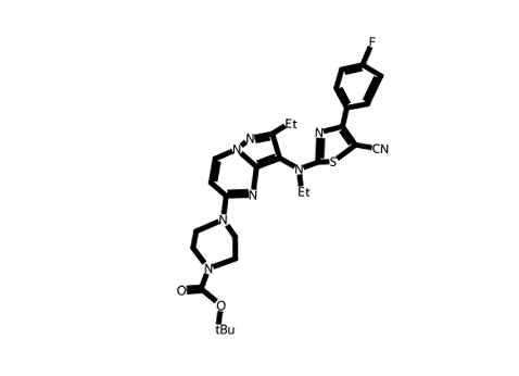 CCc1nn2ccc(N3CCN(C(=O)OC(C)(C)C)CC3)nc2c1N(CC)c1nc(-c2ccc(F)cc2)c(C#N)s1